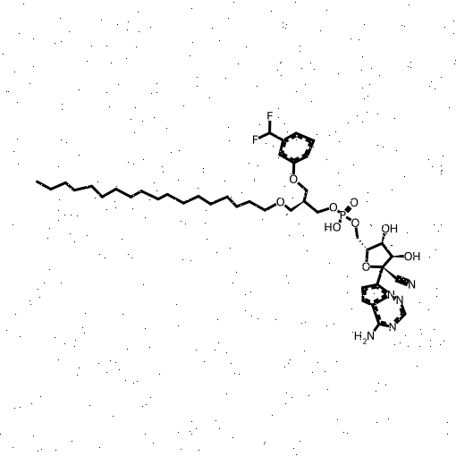 CCCCCCCCCCCCCCCCCCOC[C@@H](COc1cccc(C(F)F)c1)COP(=O)(O)OC[C@H]1O[C@@](C#N)(c2ccc3c(N)ncnn23)[C@H](O)[C@@H]1O